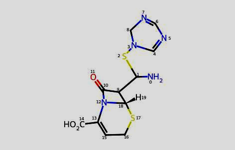 NC(SN1C=NC=NC1)C1C(=O)N2C(C(=O)O)=CCS[C@@H]12